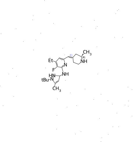 CCc1cc(/C=C2\CCN[C@H](C)C2)nc(NC2C=C(C)N(C(C)(C)C)N2)c1F